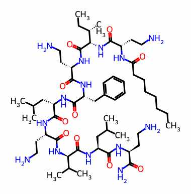 CCCCCCCC(=O)N[C@@H](CCN)C(=O)N[C@H](C(=O)N[C@@H](CCN)C(=O)N[C@H](Cc1ccccc1)C(=O)N[C@@H](CC(C)C)C(=O)N[C@@H](CCN)C(=O)N[C@@H](C(=O)N[C@@H](CC(C)C)C(=O)N[C@@H](CCN)C(N)=O)C(C)C)[C@@H](C)CC